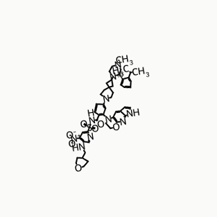 CC(C)c1ccccc1[C@@H]1CN(C)CCN1C1CC2(CCN(c3ccc(C(=O)NS(=O)(=O)c4cc([N+](=O)[O-])c(NCC5CCOCC5)cn4)c(N4CCOc5nc6[nH]ccc6cc54)c3)CC2)C1